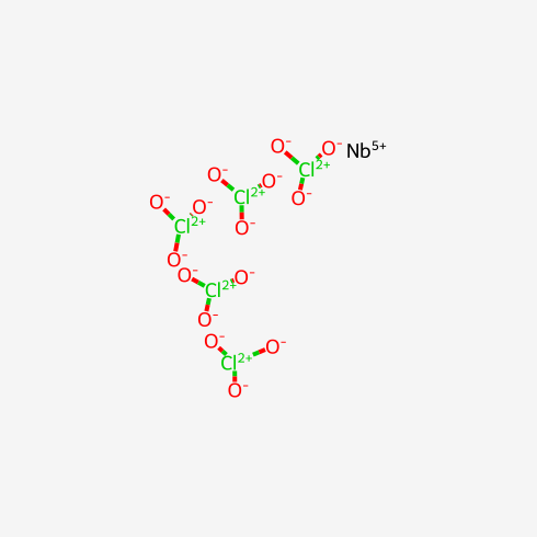 [Nb+5].[O-][Cl+2]([O-])[O-].[O-][Cl+2]([O-])[O-].[O-][Cl+2]([O-])[O-].[O-][Cl+2]([O-])[O-].[O-][Cl+2]([O-])[O-]